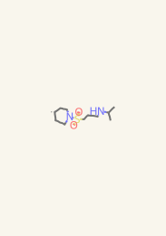 CC(C)NCCCS(=O)(=O)N1CC[CH]CC1